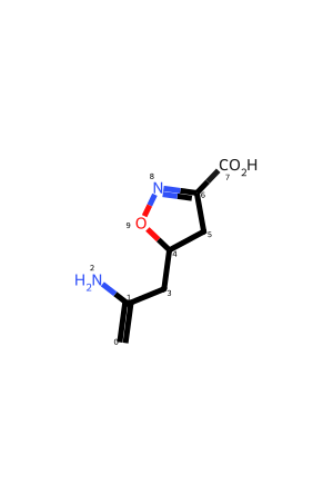 C=C(N)CC1CC(C(=O)O)=NO1